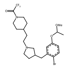 COC(C)Oc1ccc(Br)c(CC2CCN(CCC3CCN(C(=O)C(F)(F)F)CC3)C2)c1